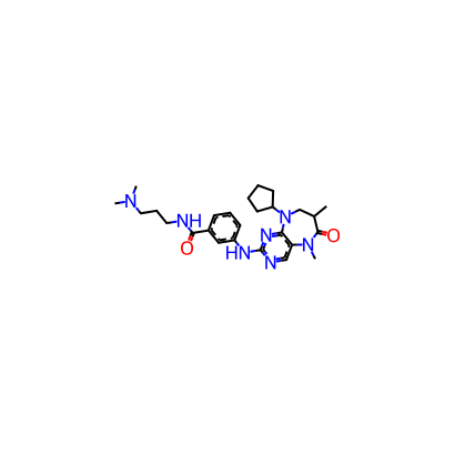 CC1CN(C2CCCC2)c2nc(Nc3cccc(C(=O)NCCCN(C)C)c3)ncc2N(C)C1=O